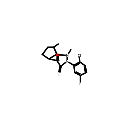 Cn1c2c(c(=O)n1-c1cc(F)ccc1Cl)C1CCC2(C)C1(C)C